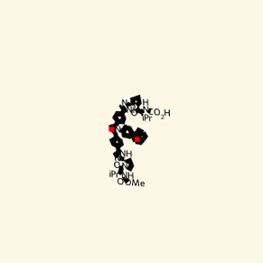 COC(=O)N[C@H](C(=O)N1CCC[C@H]1c1ncc(-c2ccc(-c3ccc(-c4ccc(-c5cnc([C@@H]6CCCN6C(=O)[C@@H](NC(=O)O)C(C)C)[nH]5)cc4)n3-c3ccc(C45CC6CC(CC(C6)C4)C5)cc3)cc2)[nH]1)C(C)C